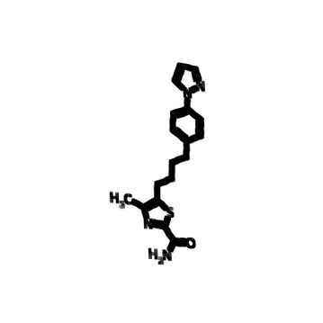 Cc1nc(C(N)=O)sc1CCCCc1ccc(-n2cccn2)cc1